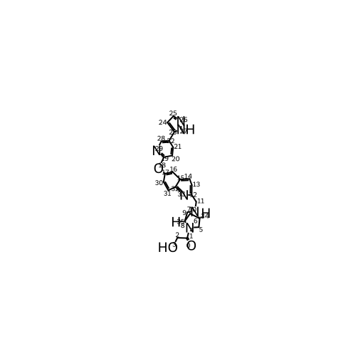 O=C(CO)N1C[C@@H]2C[C@H]1CN2Cc1ccc2cc(Oc3ccc(-c4ccn[nH]4)cn3)ccc2n1